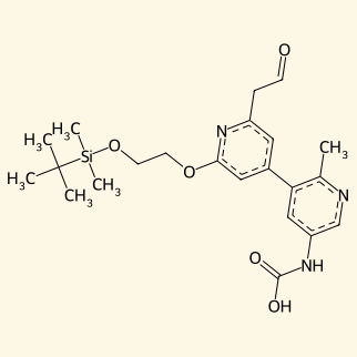 Cc1ncc(NC(=O)O)cc1-c1cc(CC=O)nc(OCCO[Si](C)(C)C(C)(C)C)c1